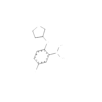 OB(O)c1cc(F)ccc1OC1CCOC1